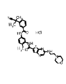 Cc1ccc(NC(=O)c2cccc(C(C)(C)C#N)c2)cc1NC(=O)c1cc2ncc(NCCN3CCOCC3)nc2s1.Cl